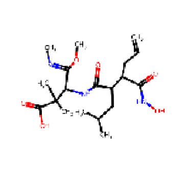 C=CCC(C(=O)NO)C(CC(C)C)C(=O)NC(C(=NC)OC)C(C)(C)C(=O)O